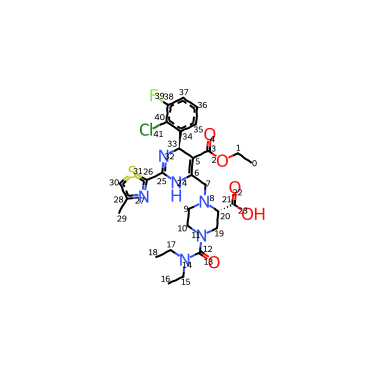 CCOC(=O)C1=C(CN2CCN(C(=O)N(CC)CC)C[C@H]2C(=O)O)NC(c2nc(C)cs2)=N[C@H]1c1cccc(F)c1Cl